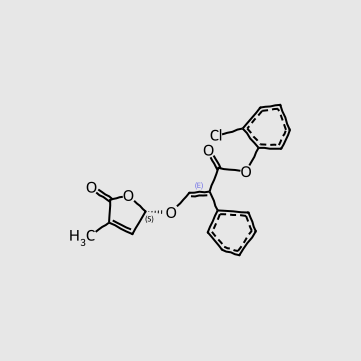 CC1=C[C@@H](O/C=C(/C(=O)Oc2ccccc2Cl)c2ccccc2)OC1=O